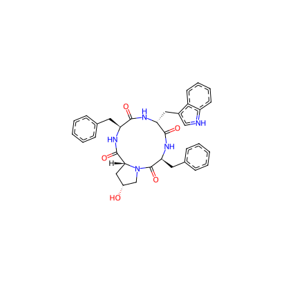 O=C1N[C@H](Cc2c[nH]c3ccccc23)C(=O)N[C@@H](Cc2ccccc2)C(=O)N2C[C@H](O)C[C@@H]2C(=O)N[C@H]1Cc1ccccc1